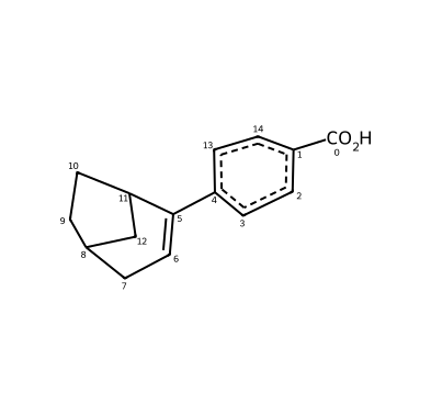 O=C(O)c1ccc(C2=CCC3CCC2C3)cc1